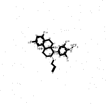 C=CCC[C@@H]1CC[C@H]2c3cc(F)cc(F)c3CC[C@@H]2[C@H]1c1cc(F)c(OC(F)(F)F)c(F)c1